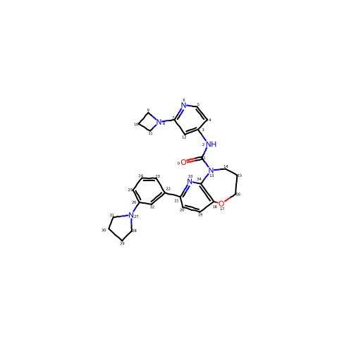 O=C(Nc1ccnc(N2CCC2)c1)N1CCCOc2ccc(-c3cccc(N4CCCC4)c3)nc21